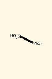 CCCCCCCCCC=CCC=CCC=CCCCCCCC(=O)O